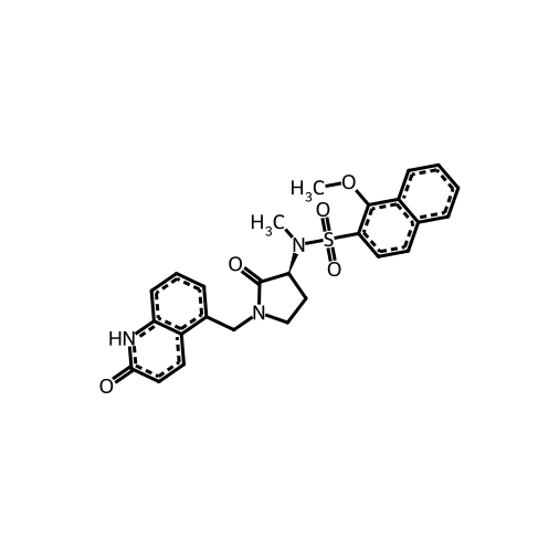 COc1c(S(=O)(=O)N(C)[C@H]2CCN(Cc3cccc4[nH]c(=O)ccc34)C2=O)ccc2ccccc12